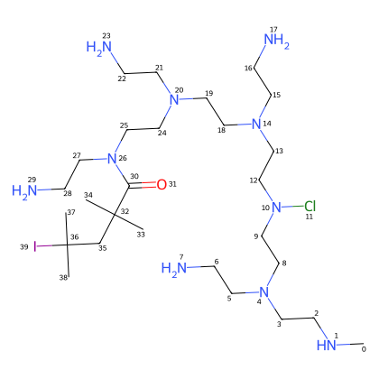 CNCCN(CCN)CCN(Cl)CCN(CCN)CCN(CCN)CCN(CCN)C(=O)C(C)(C)CC(C)(C)I